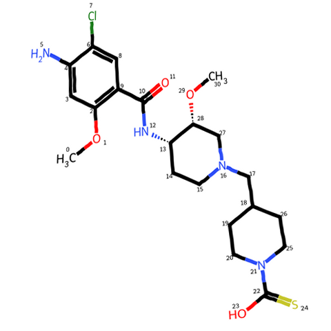 COc1cc(N)c(Cl)cc1C(=O)N[C@H]1CCN(CC2CCN(C(O)=S)CC2)C[C@H]1OC